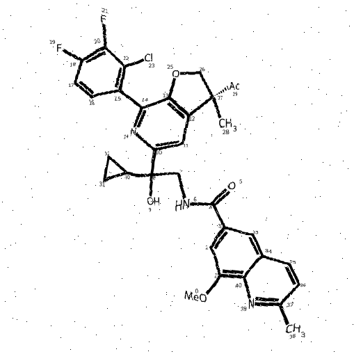 COc1cc(C(=O)NCC(O)(c2cc3c(c(-c4ccc(F)c(F)c4Cl)n2)OC[C@]3(C)C(C)=O)C2CC2)cc2ccc(C)nc12